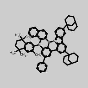 Cc1cc2c(cc1N1c3cc(-c4ccccc4)cc4c3B(c3ccc5ccccc5c31)n1c3ccc(C56CCCC(CCC5)C6)cc3c3cc(C56CCCC(CCC5)C6)cc-4c31)C(C)(C)CCC2(C)C